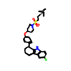 C[Si](C)(C)CCS(=O)(=O)N1CCC(Oc2ccc(C3CCCc4c3[nH]c3ccc(Cl)cc43)cc2)CC1